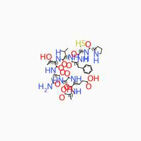 CSCC[C@H](NC(=O)[C@H](CC(N)=O)NC(=O)[C@@H](NC(=O)[C@@H](NC(=O)[C@H](Cc1ccccc1)NC(=O)[C@H](CS)NC(=O)[C@@H]1CCCN1)C(C)C)[C@@H](C)O)C(=O)N[C@@H](CCC(=O)O)C(=O)N[C@@H](C)C(=O)O